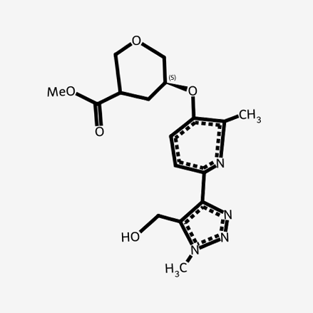 COC(=O)C1COC[C@@H](Oc2ccc(-c3nnn(C)c3CO)nc2C)C1